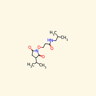 CC(C)CNC(=O)CCON1C(=O)CC(C(C)C)C1=O